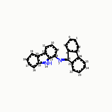 c1ccc2c(c1)C(=Nc1cccc3c1[nH]c1ccccc13)c1ccccc1-2